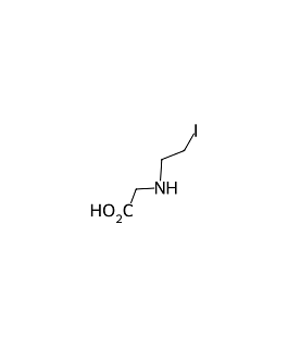 O=C(O)CNCCI